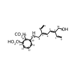 C=C/C(=C\C=C(/C=C)CNc1cccc(C(=O)O)c1C(=O)O)CO